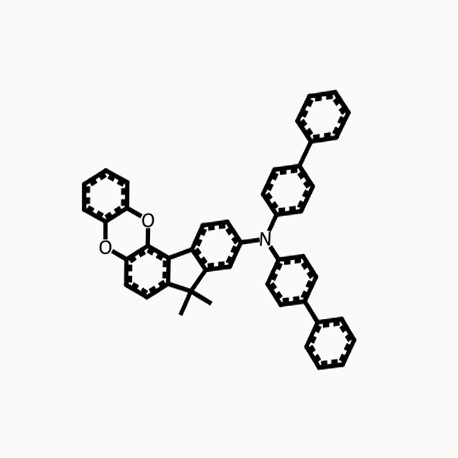 CC1(C)c2cc(N(c3ccc(-c4ccccc4)cc3)c3ccc(-c4ccccc4)cc3)ccc2-c2c1ccc1c2Oc2ccccc2O1